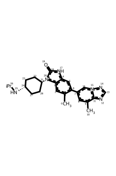 Cc1cc2c(cc1-c1cc(C)c3ncnn3c1)[nH]c(=O)n2[C@H]1CC[C@@H](NC(C)C)CC1